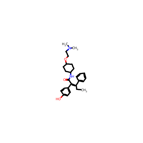 CCC(=C(C(=O)NC1CCC(OCCN(C)C)CC1)c1ccc(O)cc1)c1ccccc1